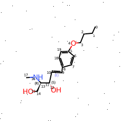 CCCCOc1ccc(/C=C/[C@H](O)[C@@H](CO)NC)cc1